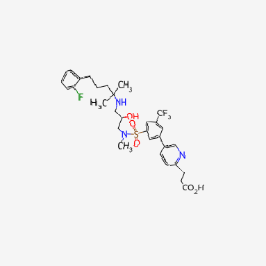 CN(C[C@H](O)CNC(C)(C)CCCc1ccccc1F)S(=O)(=O)c1cc(-c2ccc(CCC(=O)O)nc2)cc(C(F)(F)F)c1